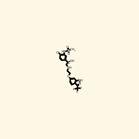 CS(=O)(=O)Nc1cc([C@@H](O)CNCCOc2ccc3c(C(F)(F)F)n[nH]c3c2)ccc1Cl